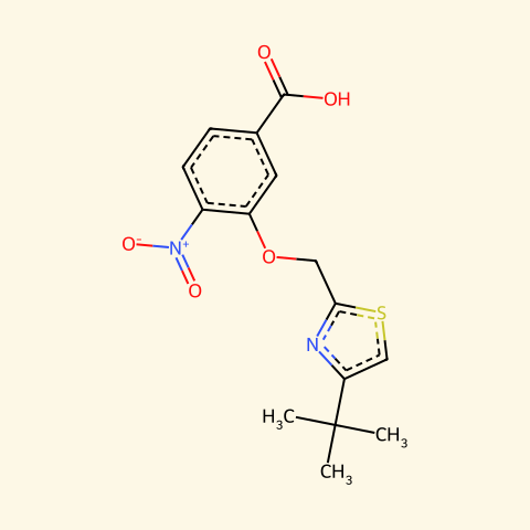 CC(C)(C)c1csc(COc2cc(C(=O)O)ccc2[N+](=O)[O-])n1